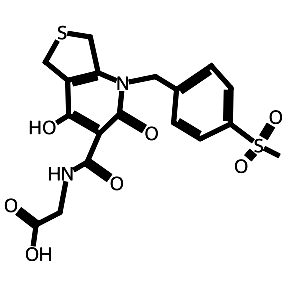 CS(=O)(=O)c1ccc(Cn2c3c(c(O)c(C(=O)NCC(=O)O)c2=O)CSC3)cc1